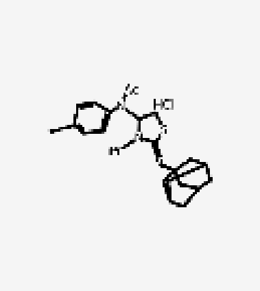 CC(=O)N(c1ccc(C)cc1)C1CSC(=NC23CC4CC(CC(C4)C2)C3)N1C(C)C.Cl